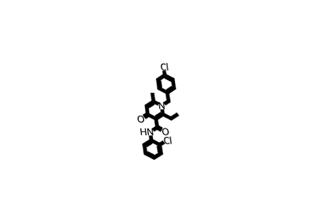 CCc1c(C(=O)Nc2ccccc2Cl)c(=O)cc(C)n1Cc1ccc(Cl)cc1